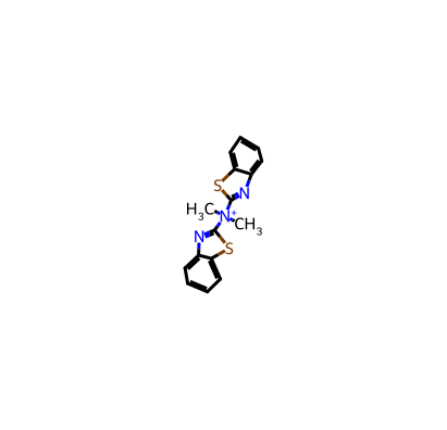 C[N+](C)(c1nc2ccccc2s1)c1nc2ccccc2s1